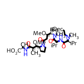 CCCCCCCCCCCCN(C)[C@H](C(=O)N[C@H](C(=O)N(C)[C@@H]([C@@H](C)CC)[C@@H](CC(=O)N1CCC[C@H]1[C@H](OC)[C@@H](C)C(=O)N[C@@H](C)C(=O)O)OC)C(C)C)C(C)C